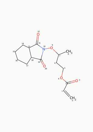 C=CC(=O)OCCC(C)ON1C(=O)C2CCCCC2C1=O